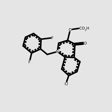 O=C(O)Oc1cn(Cc2c(F)cccc2F)c2cc(Cl)ccc2c1=O